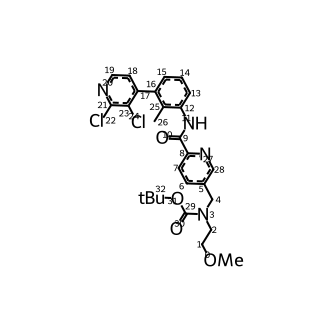 COCCN(Cc1ccc(C(=O)Nc2cccc(-c3ccnc(Cl)c3Cl)c2C)nc1)C(=O)OC(C)(C)C